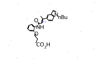 CCCCn1ccc2cc(/C(C)=C/C(=O)Nc3ccccc3OCCCC(=O)O)ccc21